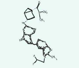 Cc1nc2ncc(-c3c[nH]c4nc(N[C@H]5C[C@]6(C(=O)N(C)C)CC56)ncc34)cc2n1CC(F)F